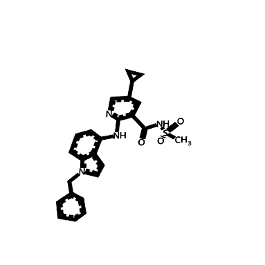 CS(=O)(=O)NC(=O)c1cc(C2CC2)cnc1Nc1cccc2c1ccn2Cc1ccccc1